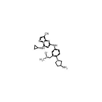 C[S+]([O-])Cc1cc(Nc2cc(NC3CC3)n3ncc(C#N)c3n2)ccc1N1CCC(N)C1